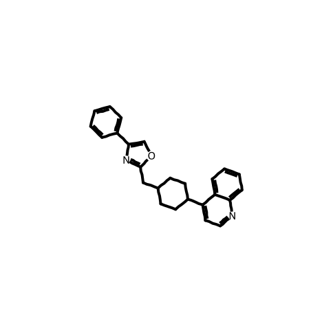 c1ccc(-c2coc(CC3CCC(c4ccnc5ccccc45)CC3)n2)cc1